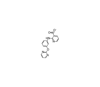 O=[N+]([O-])c1cccnc1Nc1cccc(Oc2ncccn2)c1